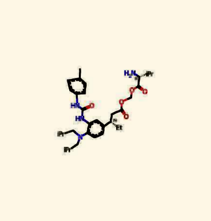 CC[C@@H](CC(=O)OCOC(=O)[C@H](N)C(C)C)c1ccc(N(CC(C)C)CC(C)C)c(NC(=O)Nc2ccc(C)cc2)c1